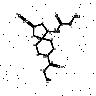 CC(C)(C)OC(=O)N[C@@H]1CC(=C=O)CC12CCN(C(=O)OC(C)(C)C)CC2